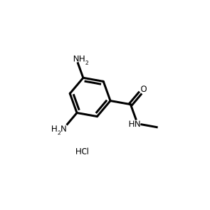 CNC(=O)c1cc(N)cc(N)c1.Cl